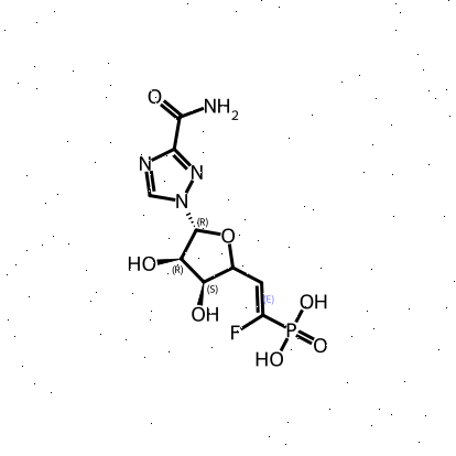 NC(=O)c1ncn([C@@H]2OC(/C=C(\F)P(=O)(O)O)[C@@H](O)[C@H]2O)n1